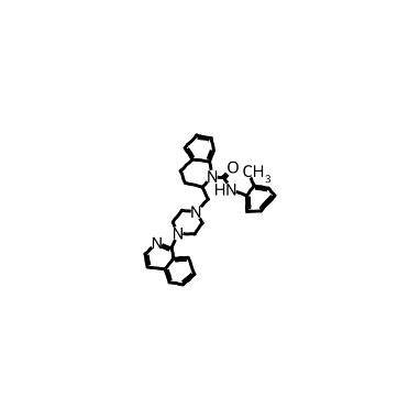 Cc1ccccc1NC(=O)N1c2ccccc2CCC1CN1CCN(c2nccc3ccccc23)CC1